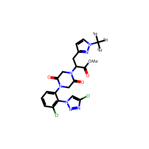 [2H]C([2H])([2H])n1ccc(CC(C(=O)OC)N2CC(=O)N(c3cccc(Cl)c3-n3cc(Cl)nn3)CC2=O)n1